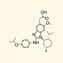 COc1cc2c(cc1CC(=O)O)nc(Nc1ccc(OC(C)C)cc1)n2[C@@H]1C[C@H](C)CC[C@H]1C(C)C